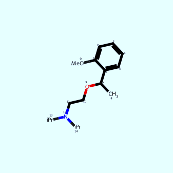 COc1ccccc1C(C)OCCN(C(C)C)C(C)C